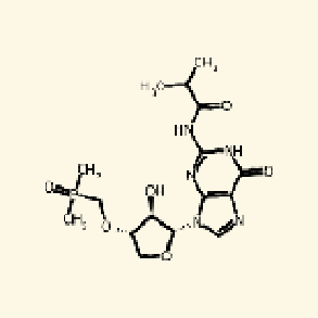 CC(C)C(=O)Nc1nc2c(ncn2[C@@H]2OC[C@H](OCP(C)(C)=O)[C@H]2O)c(=O)[nH]1